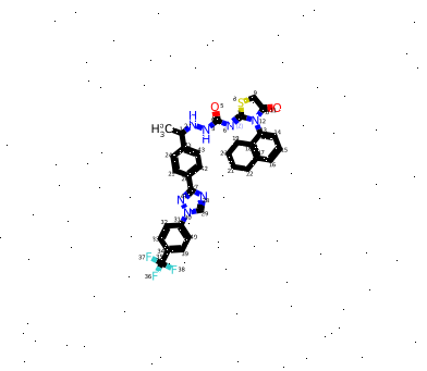 CC(NNC(=O)/N=C1\SCC(=O)N1c1cccc2c1CCCC2)c1ccc(-c2ncn(-c3ccc(C(F)(F)F)cc3)n2)cc1